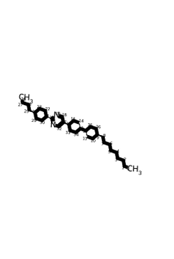 CCCCCCCCC[C@H]1CC[C@H]([C@H]2CC[C@H](c3cnc([C@H]4CC[C@H](CCCC)CC4)nc3)CC2)CC1